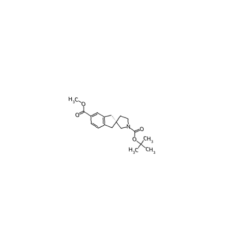 COC(=O)c1ccc2c(c1)C[C@@]1(CCN(C(=O)OC(C)(C)C)C1)C2